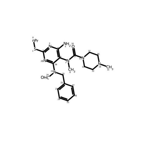 CCCSc1nc(N)c(N(C)C(=O)N2CCN(C)CC2)c(N(C=O)Cc2ccccc2)n1